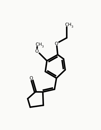 CCOc1ccc(C=C2CCCC2=O)cc1OC